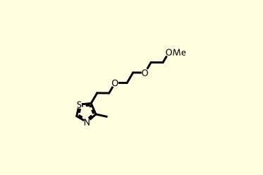 COCCOCCOCCc1scnc1C